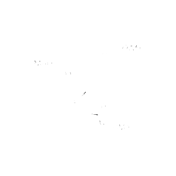 COCOc1ccc([C@@H]2CCC[C@@H]2C(=O)N(C)OC)c(OCOC)c1